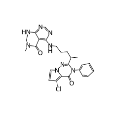 CC(CCCNc1ncnc2c1C(=O)N(C)CN2)c1nn2ccc(Cl)c2c(=O)n1-c1ccccc1